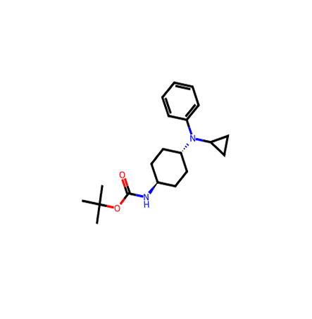 CC(C)(C)OC(=O)N[C@H]1CC[C@H](N(c2ccccc2)C2CC2)CC1